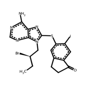 CC[C@@H](Br)Cn1c(Sc2cc3c(cc2I)C(=O)CC3)nc2c(N)ncnc21